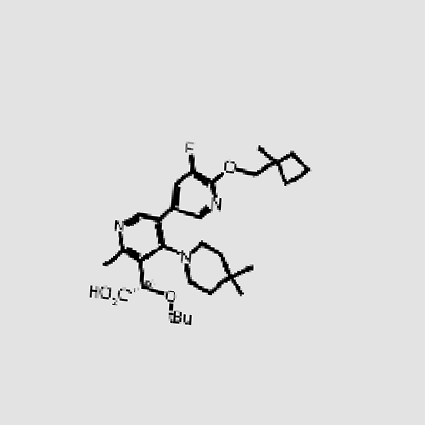 Cc1ncc(-c2cnc(OCC3(C)CCC3)c(F)c2)c(N2CCC(C)(C)CC2)c1[C@H](OC(C)(C)C)C(=O)O